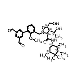 COc1c(CN2O[C@@H](CO)[C@@H]([C@H](C)O)[C@H]2C(=O)N[C@H]2C[C@@H](C)C(C)(C)[C@@H](C)[C@@H]2C)cccc1-c1cc(C=O)cc(C=O)c1